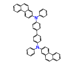 c1ccc(N(c2ccc(-c3ccc(N(c4ccccc4)c4ccc5c(ccc6ccccc65)c4)cc3)cc2)c2ccc3c(ccc4ccccc43)c2)cc1